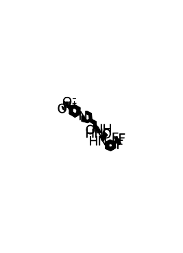 O=C(C=C1CCN(c2ccc([N+](=O)[O-])cc2)CC1)NNC(=O)Nc1cccc(C(F)(F)F)c1